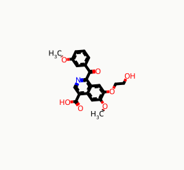 COc1cccc(C(=O)c2ncc(C(=O)O)c3cc(OC)c(OCCO)cc23)c1